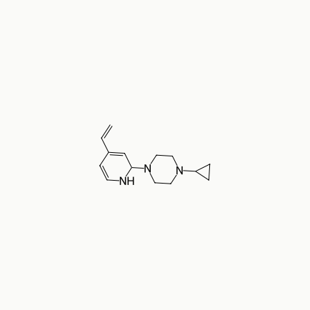 C=CC1=CC(N2CCN(C3CC3)CC2)NC=C1